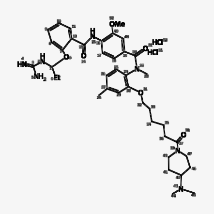 CCC(NC(=N)N)Oc1ccccc1C(=O)Nc1ccc(C(=O)N(C)c2ccc(C)cc2OCCCCCC(=O)N2CCC(N(C)C)CC2)cc1OC.Cl.Cl